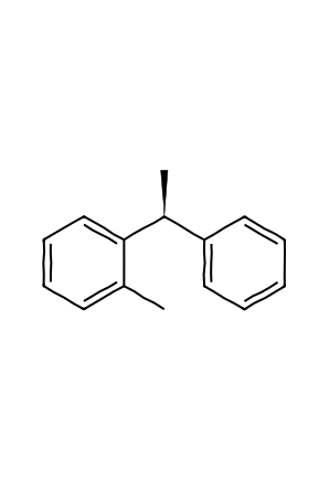 Cc1ccccc1[C@@H](C)c1ccccc1